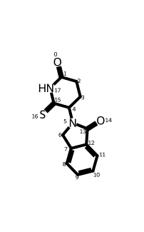 O=C1CCC(N2Cc3ccccc3C2=O)C(=S)N1